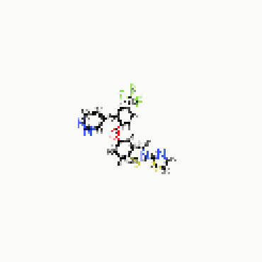 FC(F)(F)c1ccc(Oc2ccc3c(c2)CN(c2nccs2)S3)c(-c2ccnnc2)c1